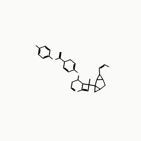 C=C(Nc1ccc(N)cc1)C1C=CC(NC2CC=NC3=CC(C)(C45CC4CC4C(/C=C\N)C45)C32)=CC1